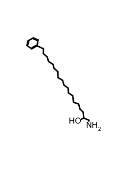 NCC(O)CCCCCCCCCCCCCCCCCc1ccccc1